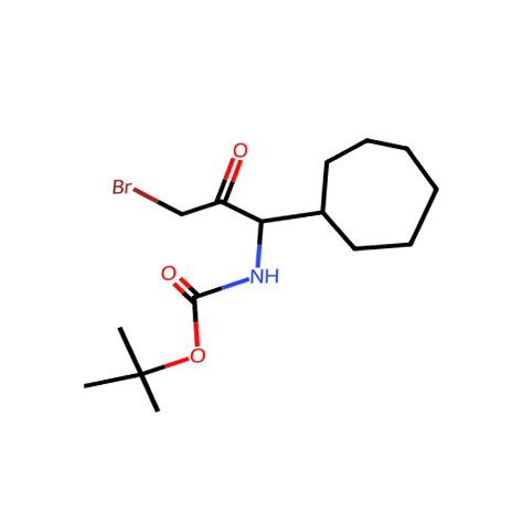 CC(C)(C)OC(=O)NC(C(=O)CBr)C1CCCCCC1